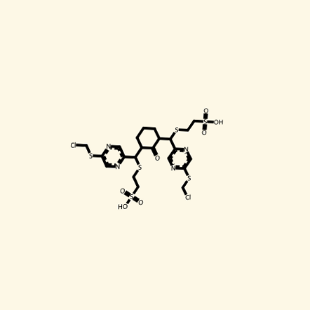 O=C1C(C(SCCS(=O)(=O)O)c2cnc(SCCl)cn2)CCCC1C(SCCS(=O)(=O)O)c1cnc(SCCl)cn1